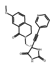 COc1ccc2c(c1)C(=O)N(C[C@]1(C#Cc3cccnc3)NC(=O)NC1=O)CC2